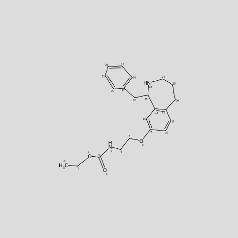 CCOC(=O)NCCOc1ccc2c(c1)C(Cc1ccccc1)NCCC2